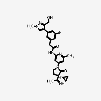 CC(=N)[C@@]1(C2CC2)CCN(c2cc(C)nc(NC(=O)Cc3cc(F)cc(-c4cn(C)nc4CO)c3)c2)C1=O